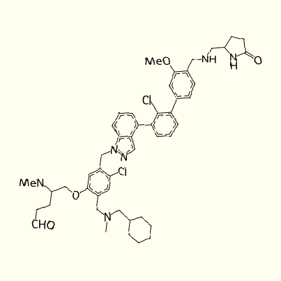 CNC(CCC=O)COc1cc(Cn2ncc3c(-c4cccc(-c5ccc(CNCC6CCC(=O)N6)c(OC)c5)c4Cl)cccc32)c(Cl)cc1CN(C)CC1CCCCC1